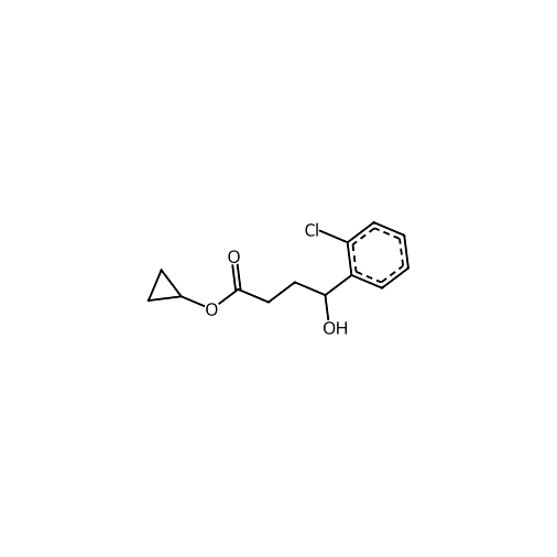 O=C(CCC(O)c1ccccc1Cl)OC1CC1